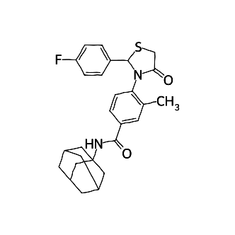 Cc1cc(C(=O)NC23CC4CC(CC(C4)C2)C3)ccc1N1C(=O)CSC1c1ccc(F)cc1